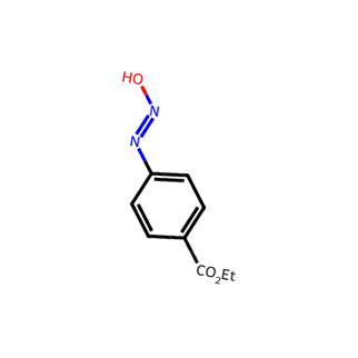 CCOC(=O)c1ccc(N=NO)cc1